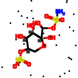 NS(=O)(=O)OC(O)[C@@]1(O)OC[C@@H](O[SH](=O)=O)[C@@H](O)[C@@H]1O